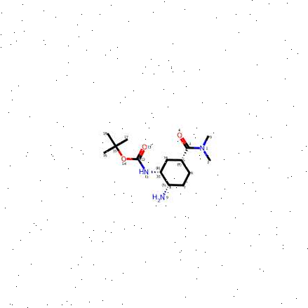 CN(C)C(=O)[C@@H]1CC[C@H](N)[C@H](NC(=O)OC(C)(C)C)C1